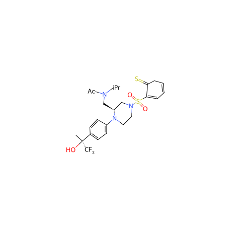 CC(=O)N(C[C@H]1CN(S(=O)(=O)C2=CC=CCC2=S)CCN1c1ccc([C@](C)(O)C(F)(F)F)cc1)C(C)C